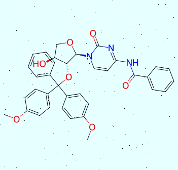 COc1ccc(C(O[C@H]2[C@H](n3ccc(NC(=O)c4ccccc4)nc3=O)OC[C@@H]2O)(c2ccccc2)c2ccc(OC)cc2)cc1